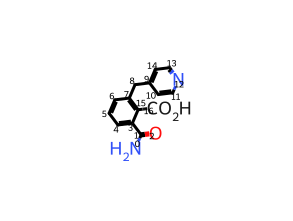 NC(=O)c1cccc(Cc2ccncc2)c1C(=O)O